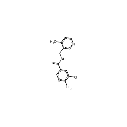 Cc1ccncc1CNC(=O)c1cnc(C(F)(F)F)c(Cl)c1